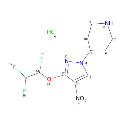 Cl.O=[N+]([O-])c1cn(C2CCNCC2)nc1OC(F)C(F)F